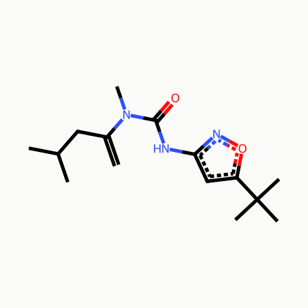 C=C(CC(C)C)N(C)C(=O)Nc1cc(C(C)(C)C)on1